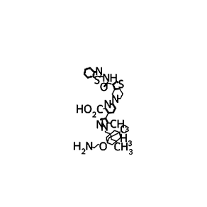 Cc1c(-c2ccc(N3CCc4scc(C(=O)Nc5nc6ccccc6s5)c4C3)nc2C(=O)O)cnn1CC12CC3(C)CC(C)(C1)CC(OCCN)(C3)C2